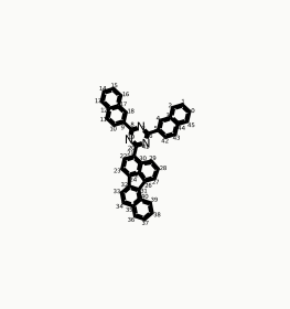 c1ccc2cc(-c3nc(-c4ccc5ccccc5c4)nc(-c4ccc5c6c(cccc46)-c4c-5ccc5ccccc45)n3)ccc2c1